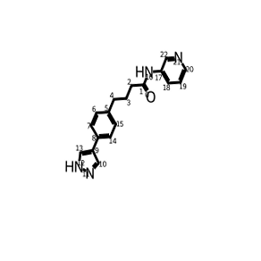 O=C(CCCc1ccc(-c2cn[nH]c2)cc1)Nc1cccnc1